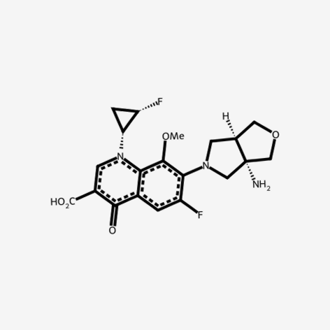 COc1c(N2C[C@H]3COC[C@@]3(N)C2)c(F)cc2c(=O)c(C(=O)O)cn([C@@H]3C[C@@H]3F)c12